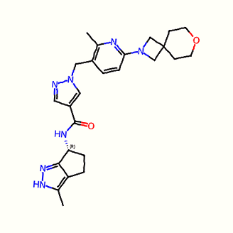 Cc1nc(N2CC3(CCOCC3)C2)ccc1Cn1cc(C(=O)N[C@@H]2CCc3c2n[nH]c3C)cn1